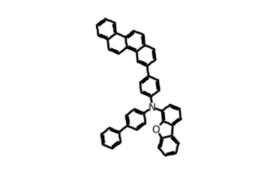 c1ccc(-c2ccc(N(c3ccc(-c4ccc5ccc6c7ccccc7ccc6c5c4)cc3)c3cccc4c3oc3ccccc34)cc2)cc1